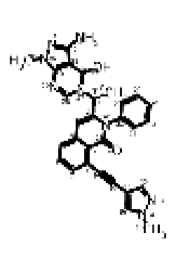 C[C@@H](c1cc2cccc(C#Cc3cnn(C)c3)c2c(=O)n1-c1ccccc1)N1C=Nc2c(c(N)nn2C)C1O